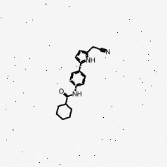 N#CCc1ccc(-c2ccc(NC(=O)C3CCCCC3)cc2)[nH]1